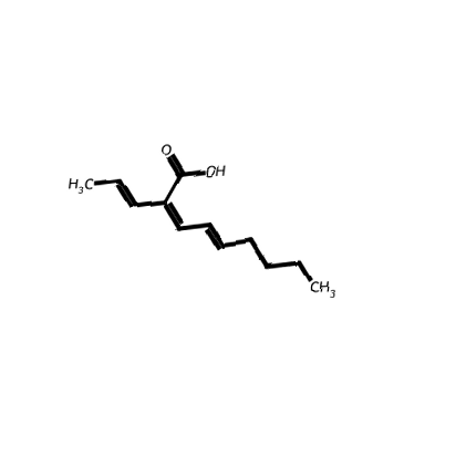 CC=CC(=CC=CCCCC)C(=O)O